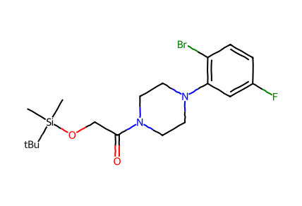 CC(C)(C)[Si](C)(C)OCC(=O)N1CCN(c2cc(F)ccc2Br)CC1